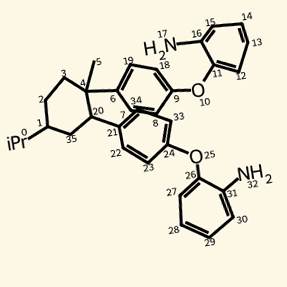 CC(C)C1CCC(C)(c2ccc(Oc3ccccc3N)cc2)C(c2ccc(Oc3ccccc3N)cc2)C1